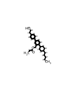 C=CC(=O)OCc1cc(-c2ccc(CCO)cc2)ccc1C1CCC(CCCCC)CC1